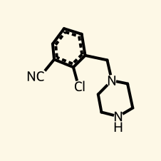 N#Cc1cccc(CN2CCNCC2)c1Cl